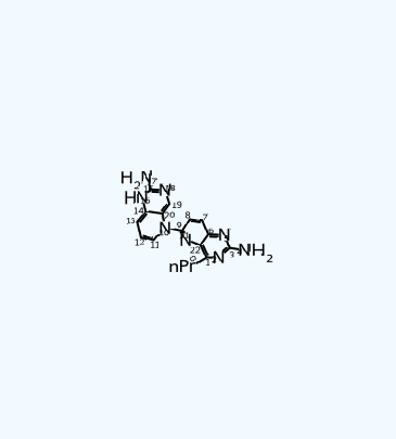 CCCc1nc(N)nc2ccc(N3C=CC=C4NC(N)=NC=C43)nc12